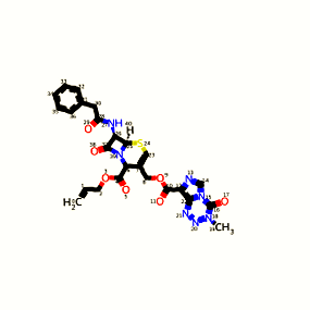 C=CCOC(=O)C1C(COC(=O)c2ncn3c(=O)n(C)nnc23)=CS[C@@H]2[C@H](NC(=O)Cc3ccccc3)C(=O)N12